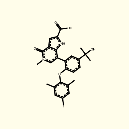 Cc1cc(F)cc(C)c1Oc1ccc(C(C)(C)O)cc1-c1cn(C)c(=O)c2cc(C(=O)O)[nH]c12